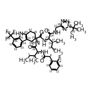 CCC(C)[C@H](NC(=O)Cc1ccccc1F)C(=O)N[C@]1(C(=O)NC(C(=O)NCc2nnn(C(C)(C)C)n2)[C@@H](C)CC)CCc2[nH]c3c(C(F)(F)F)cccc3c2C1